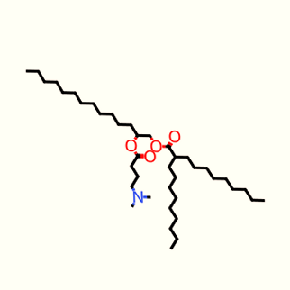 CCCCCCCCCCCCC(COC(=O)C(CCCCCCCCC)CCCCCCCCC)OC(=O)CCCN(C)C